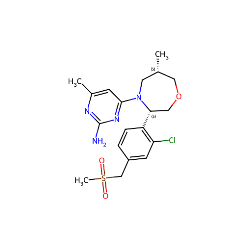 Cc1cc(N2C[C@H](C)COC[C@@H]2c2ccc(CS(C)(=O)=O)cc2Cl)nc(N)n1